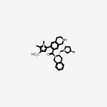 Cc1c(C(=O)O)cc(-c2cc3c(cc2C(=O)N2Cc4ccccc4C[C@H]2CN2CC[C@@H](F)C2)CNCC3)n1C